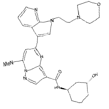 CNc1cc(-c2cn(CCN3CCOCC3)c3ncccc23)nc2c(C(=O)N[C@@H]3CCC[C@@H](O)C3)cnn12